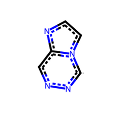 [c]1nncc2nccn12